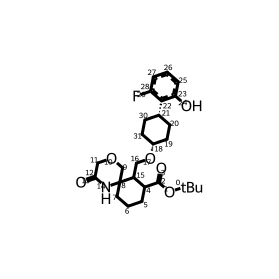 CC(C)(C)OC(=O)C1CCCC2(COCC(=O)N2)C1CO[C@H]1CC[C@@H](c2c(O)cccc2F)CC1